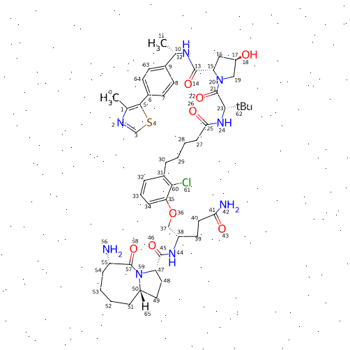 Cc1ncsc1-c1ccc([C@H](C)NC(=O)[C@@H]2C[C@@H](O)CN2C(=O)[C@@H](NC(=O)CCCCc2cccc(OC[C@H](CCC(N)=O)NC(=O)[C@@H]3CC[C@@H]4CCCC[C@H](N)C(=O)N43)c2Cl)C(C)(C)C)cc1